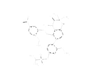 COc1ccc([N+](=O)[O-])cc1OCc1c(-c2ccc(OS(=O)(=O)C(C)C)cc2OC)ccc2c1N(C)C(=O)C(C)(C)N2